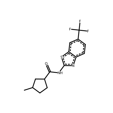 CC1CCC(C(=O)Nc2nc3ccc(C(F)(F)F)cc3s2)C1